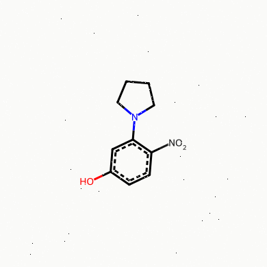 O=[N+]([O-])c1ccc(O)cc1N1CCCC1